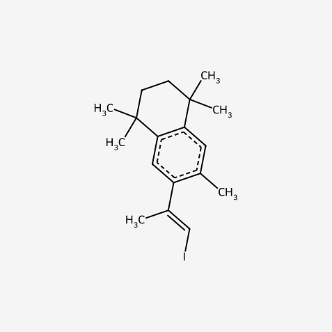 CC(=CI)c1cc2c(cc1C)C(C)(C)CCC2(C)C